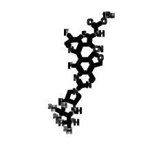 [2H]C([2H])([2H])C(N[C@H]1CN(c2ncc3c4c(c(-c5ncc(F)c6sc(NC(=O)OC(C)(C)C)c(C#N)c56)c(F)c3n2)COC4)C[C@@H]1F)C([2H])([2H])[2H]